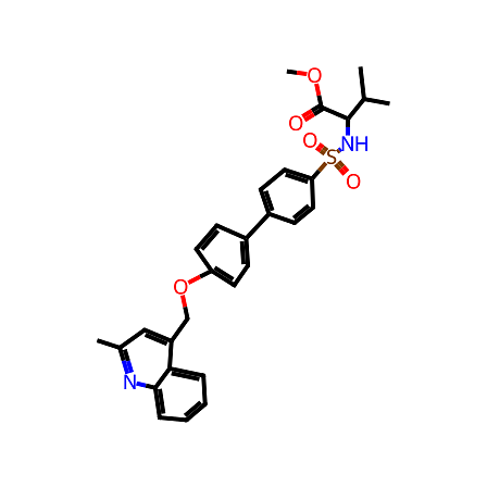 COC(=O)C(NS(=O)(=O)c1ccc(-c2ccc(OCc3cc(C)nc4ccccc34)cc2)cc1)C(C)C